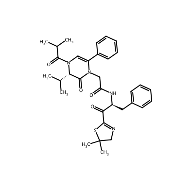 CC(C)C(=O)N1C=C(c2ccccc2)N(CC(=O)N[C@@H](Cc2ccccc2)C(=O)C2=NCC(C)(C)S2)C(=O)[C@@H]1C(C)C